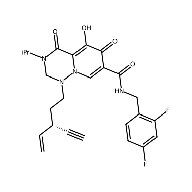 C#C[C@H](C=C)CCN1CN(C(C)C)C(=O)c2c(O)c(=O)c(C(=O)NCc3ccc(F)cc3F)cn21